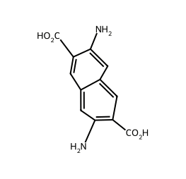 Nc1cc2cc(C(=O)O)c(N)cc2cc1C(=O)O